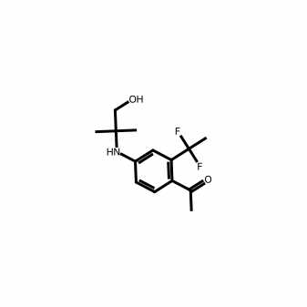 CC(=O)c1ccc(NC(C)(C)CO)cc1C(C)(F)F